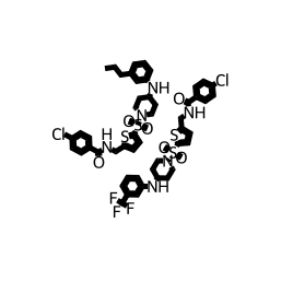 CCCc1cccc(NC2CCN(S(=O)(=O)c3ccc(CNC(=O)c4ccc(Cl)cc4)s3)CC2)c1.O=C(NCc1ccc(S(=O)(=O)N2CCC(Nc3cccc(C(F)(F)F)c3)CC2)s1)c1ccc(Cl)cc1